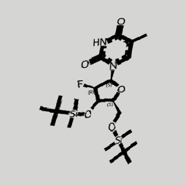 Cc1cn([C@H]2O[C@@H](CO[Si](C)(C)C(C)(C)C)C(O[Si](C)(C)C(C)(C)C)[C@H]2F)c(=O)[nH]c1=O